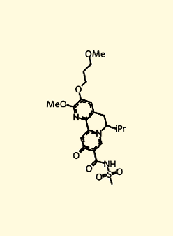 COCCCOc1cc2c(nc1OC)-c1cc(=O)c(C(=O)NS(C)(=O)=O)cn1C(C(C)C)C2